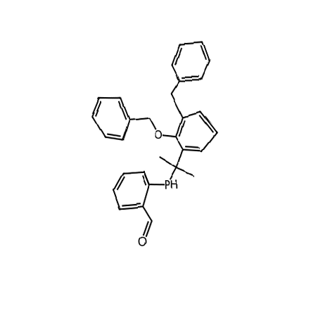 CC(C)(Pc1ccccc1C=O)c1cccc(Cc2ccccc2)c1OCc1ccccc1